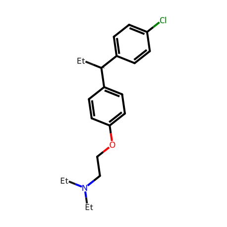 CC[C](c1ccc(Cl)cc1)c1ccc(OCCN(CC)CC)cc1